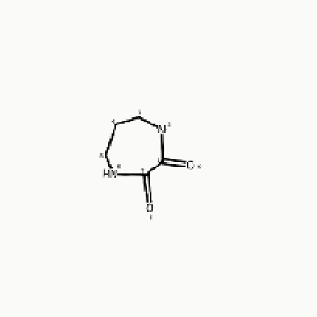 O=C1[N]CCCNC1=O